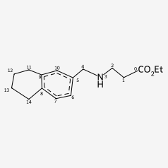 CCOC(=O)CCNCc1ccc2c(c1)CCCC2